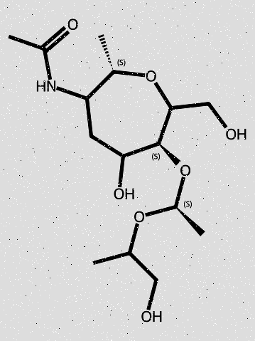 CC(=O)NC1CC(O)[C@H](O[C@@H](C)OC(C)CO)C(CO)O[C@H]1C